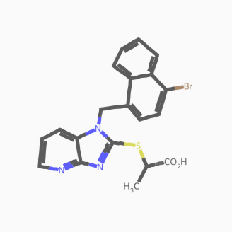 CC(Sc1nc2ncccc2n1Cc1ccc(Br)c2ccccc12)C(=O)O